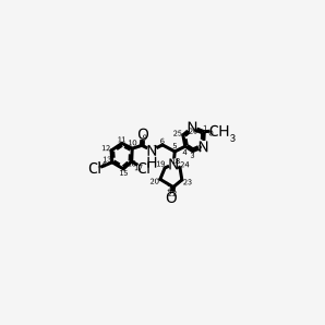 Cc1ncc(C(CNC(=O)c2ccc(Cl)cc2Cl)N2CCC(=O)CC2)cn1